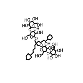 OCC1O[C@H](O[C@@H]2C(CO)O[C@@H](OCC(CCCCC3CCCCC3)(CCCCC3CCCCC3)CO[C@@H]3OC(CO)[C@@H](O[C@H]4OC(CO)[C@@H](O)[C@H](O)C4O)[C@H](O)C3O)C(O)[C@H]2O)C(O)[C@@H](O)[C@@H]1O